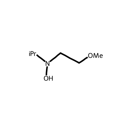 COCCN(O)C(C)C